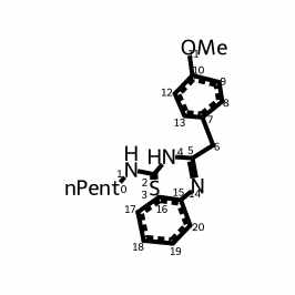 CCCCCNC(=S)N/C(Cc1ccc(OC)cc1)=N\c1ccccc1